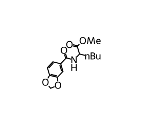 CCCCC(NC(=O)c1ccc2c(c1)OCO2)C(=O)OC